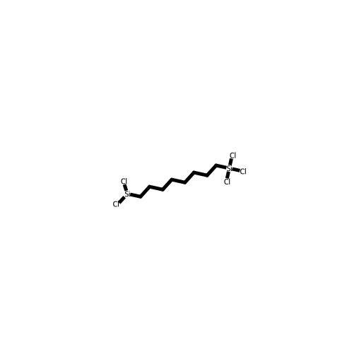 Cl[Si](Cl)CCCCCCCC[Si](Cl)(Cl)Cl